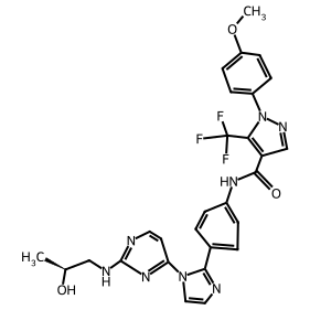 COc1ccc(-n2ncc(C(=O)Nc3ccc(-c4nccn4-c4ccnc(NC[C@H](C)O)n4)cc3)c2C(F)(F)F)cc1